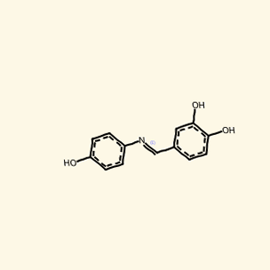 Oc1ccc(/N=C/c2ccc(O)c(O)c2)cc1